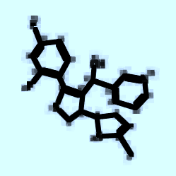 CC1=CCC(C2CSC(c3ccc(F)cc3F)=C2C(O)c2cccnc2)S1